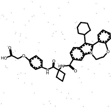 O=C(O)COc1ccc(NC(=O)C2(NC(=O)c3ccc4c(C5CCCCC5)c5n(c4c3)CCOc3ccccc3-5)CCC2)cc1